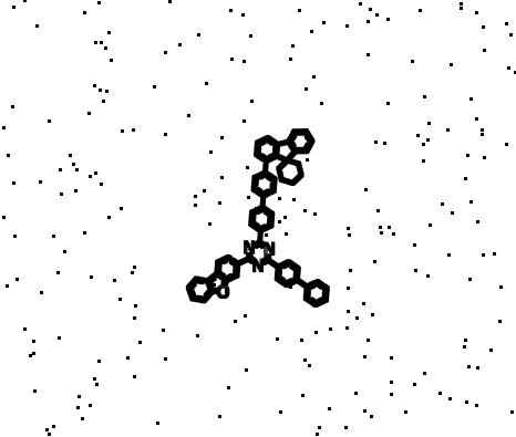 c1ccc(-c2ccc(-c3nc(-c4ccc(-c5ccc(-c6cccc7c6C6(CCCCC6)c6ccccc6-7)cc5)cc4)nc(-c4ccc5c(c4)oc4ccccc45)n3)cc2)cc1